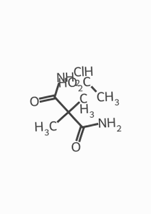 CC(=O)O.CC(C)(C(N)=O)C(N)=O.Cl